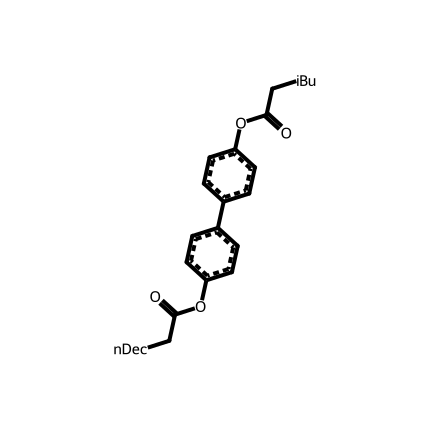 CCCCCCCCCCCC(=O)Oc1ccc(-c2ccc(OC(=O)CC(C)CC)cc2)cc1